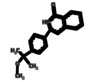 COC(C)(C)c1ccc(-c2cc3ccccc3c(=O)[nH]2)cc1